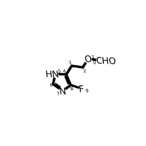 O=COCCc1[nH]cnc1F